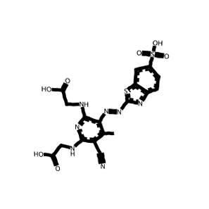 Cc1c(C#N)c(NCC(=O)O)nc(NCC(=O)O)c1N=Nc1nc2ccc(S(=O)(=O)O)cc2s1